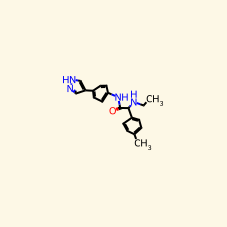 CCNC(C(=O)Nc1ccc(-c2cn[nH]c2)cc1)c1ccc(C)cc1